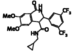 COc1cc2c(cc1OC)C(C(=O)NCC1CC1)C(c1cc(C(F)(F)F)cc(C(F)(F)F)c1)NC2=O